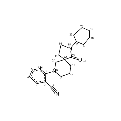 N#Cc1cccnc1N1CCC[C@]2(CCN(C3CCCCC3)C2=O)C1